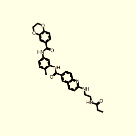 CCC(=O)NCCNc1ccc2cc(C(=O)Nc3cc(NC(=O)c4ccc5c(c4)OCCO5)ccc3C)ccc2n1